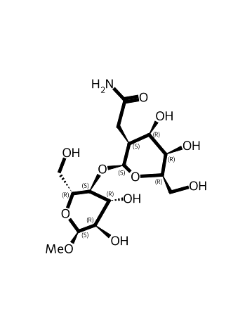 CO[C@H]1O[C@H](CO)[C@@H](O[C@@H]2O[C@H](CO)[C@H](O)[C@H](O)[C@@H]2CC(N)=O)[C@H](O)[C@H]1O